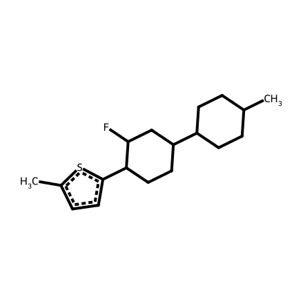 Cc1ccc(C2CCC(C3CCC(C)CC3)CC2F)s1